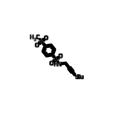 CC(C)(C)C#CCNS(=O)(=O)c1ccc(S(C)(=O)=O)cc1